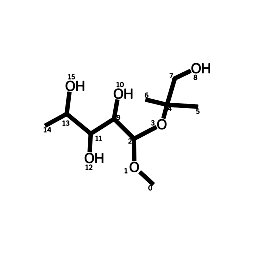 COC(OC(C)(C)CO)C(O)C(O)C(C)O